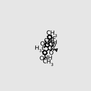 CC(=O)Nc1cccc(C2C(=O)N(C3CC3)C(=O)c3c2c(C)c(=O)n(C)c3Nc2ccc(C)cc2F)c1